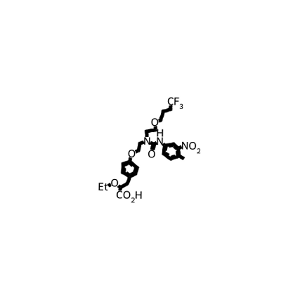 CCOC(Cc1ccc(OCCN(CCOCCCC(F)(F)F)C(=O)Nc2ccc(C)c([N+](=O)[O-])c2)cc1)C(=O)O